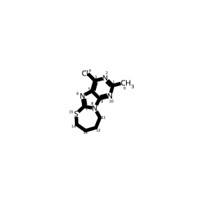 Cc1nc(Cl)c2nc3n(c2n1)CCCCS3